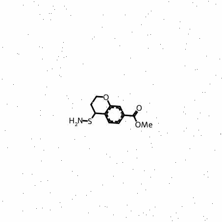 COC(=O)c1ccc2c(c1)OCCC2SN